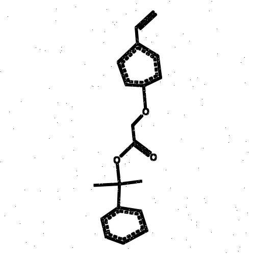 C=Cc1ccc(OCC(=O)OC(C)(C)c2ccccc2)cc1